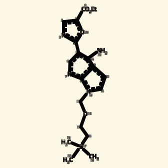 CCOC(=O)c1cnc(-c2cnc3c(ccn3COCC[Si](C)(C)C)c2N)o1